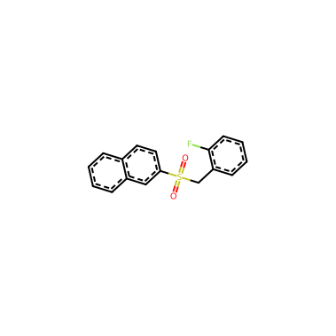 O=S(=O)(Cc1ccccc1F)c1ccc2ccccc2c1